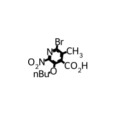 CCCCOc1c([N+](=O)[O-])nc(Br)c(C)c1C(=O)O